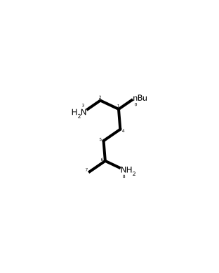 CCCCC(CN)CCC(C)N